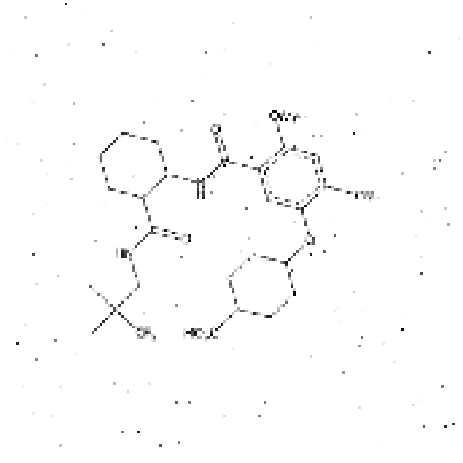 COc1cc(C#N)c(OC2CCC(C(=O)O)CC2)cc1C(=O)NC1CCCCC1C(=O)NCC(C)(C)C(F)(F)F